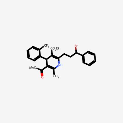 CCOC(=O)C1=C(CCC(Br)c2ccccc2)NC(C)=C(C(=O)OC)C1c1ccccc1C(F)(F)F